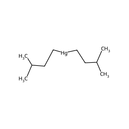 CC(C)C[CH2][Hg][CH2]CC(C)C